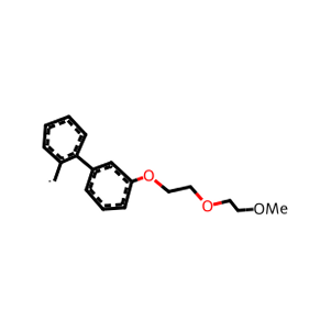 [CH2]c1ccccc1-c1cccc(OCCOCCOC)c1